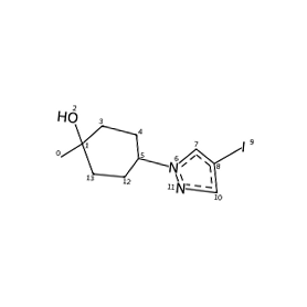 CC1(O)CCC(n2cc(I)cn2)CC1